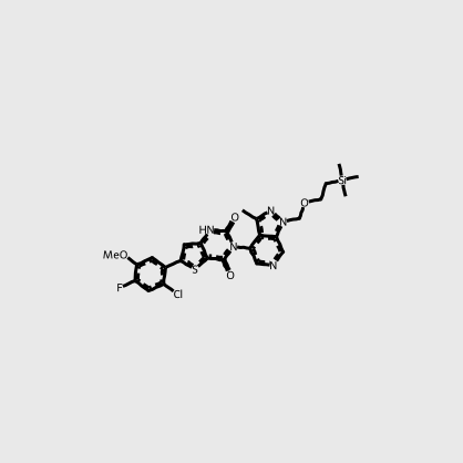 COc1cc(-c2cc3[nH]c(=O)n(-c4cncc5c4c(C)nn5COCC[Si](C)(C)C)c(=O)c3s2)c(Cl)cc1F